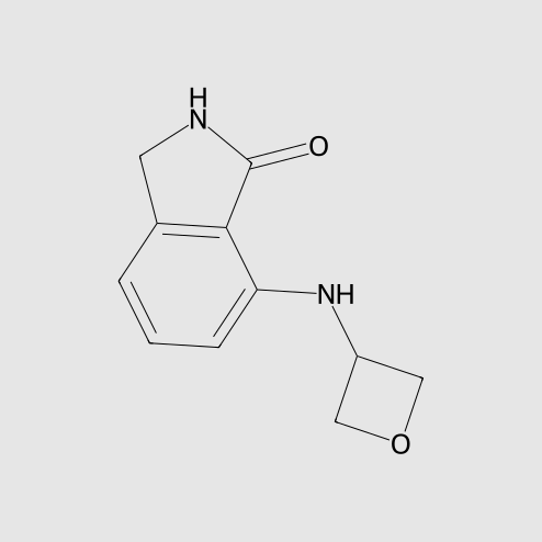 O=C1NCc2cccc(NC3COC3)c21